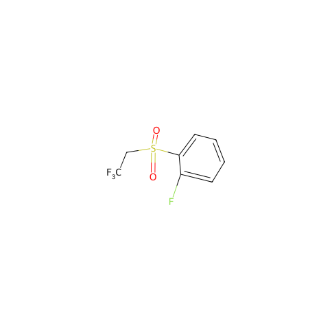 O=S(=O)(CC(F)(F)F)c1ccccc1F